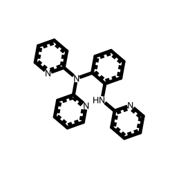 c1ccc(Nc2ccccc2N(c2ccccn2)c2ccccn2)nc1